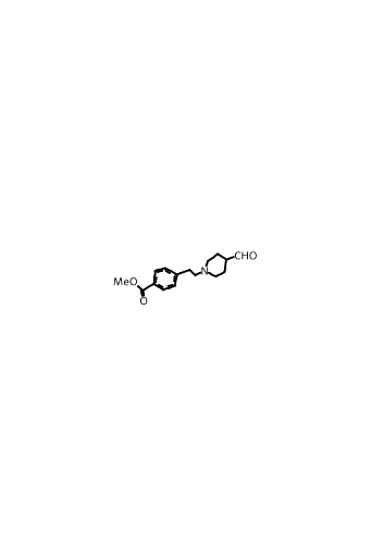 COC(=O)c1ccc(CCN2CCC(C=O)CC2)cc1